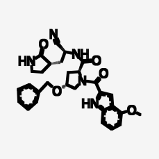 COc1cccc2[nH]c(C(=O)N3C[C@H](OCc4ccccc4)C[C@H]3C(=O)N[C@H](C#N)C[C@@H]3CCNC3=O)cc12